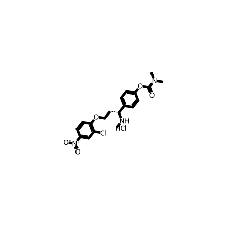 CN[C@H](CCOc1ccc([N+](=O)[O-])cc1Cl)c1ccc(OC(=O)N(C)C)cc1.Cl